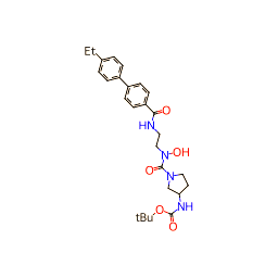 CCc1ccc(-c2ccc(C(=O)NCCN(O)C(=O)N3CCC(NC(=O)OC(C)(C)C)C3)cc2)cc1